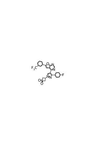 O=S1(=O)CC(n2cc(-c3ncnc4oc(-c5cccc(C(F)(F)F)c5)cc34)c(-c3ccc(F)cc3)n2)C1